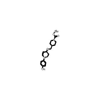 CC(C)(C)OC(=O)N1CCC(COC2CCN(c3ccc(O)cc3)CC2)CC1